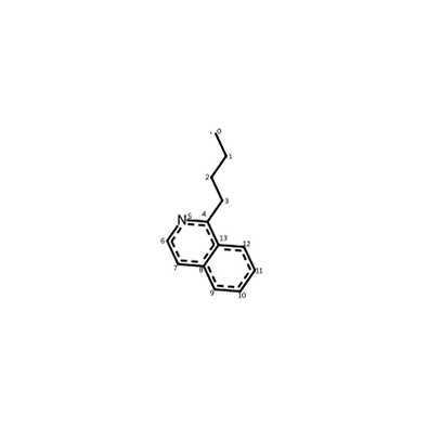 [CH2]CCCc1nccc2ccccc12